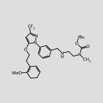 COC1=C(CCOc2cc(C(F)(F)F)nn2-c2cccc(CNCCN(C)C(=O)OC(C)(C)C)c2)C=CCC1